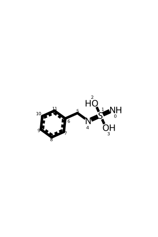 N=S(O)(O)=NCc1ccccc1